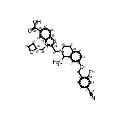 CC1c2cc(OCc3ccc(C#N)cc3F)ccc2CCN1Cc1nc2ccc(C(=O)O)cc2n1C[C@@H]1CCO1